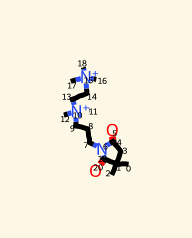 CC1(C)CC(=O)N(CCC[N+](C)(C)CC[N+](C)(C)C)C1=O